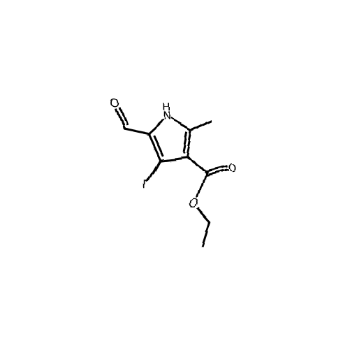 CCOC(=O)c1c(C)[nH]c(C=O)c1I